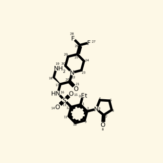 CCc1c(N2CCCC2=O)cccc1S(=O)(=O)N[C@@H](CN)C(=O)N1CCC(=C(F)F)CC1